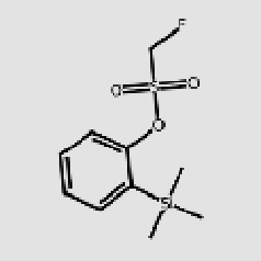 C[Si](C)(C)c1ccccc1OS(=O)(=O)CF